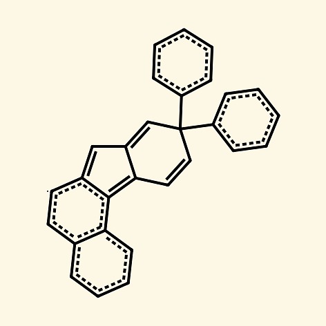 [c]1cc2ccccc2c2c1=CC1=CC(c3ccccc3)(c3ccccc3)C=CC=21